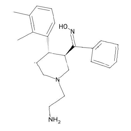 Cc1cccc([C@H]2[CH]CN(CCN)C[C@@H]2/C(=N\O)c2ccccc2)c1C